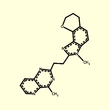 Cc1nc(CCc2nc3c4c(ccc3n2C)CCCO4)nc2cccnc12